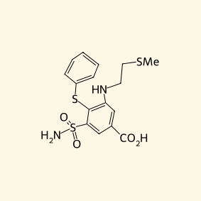 CSCCNc1cc(C(=O)O)cc(S(N)(=O)=O)c1Sc1ccccc1